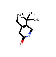 CCC1=C(C(C)(C)C)C=NC(=O)C1